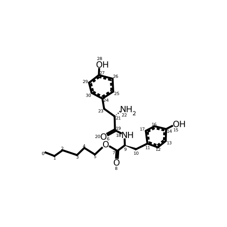 CCCCCCOC(=O)[C@H](Cc1ccc(O)cc1)NC(=O)[C@@H](N)Cc1ccc(O)cc1